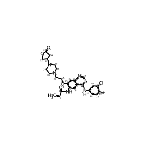 C=CC(=O)Nc1cc2c(Nc3ccc(F)c(Cl)c3)ncnc2cc1OCCN1CCN(C2COC(=O)C2)CC1